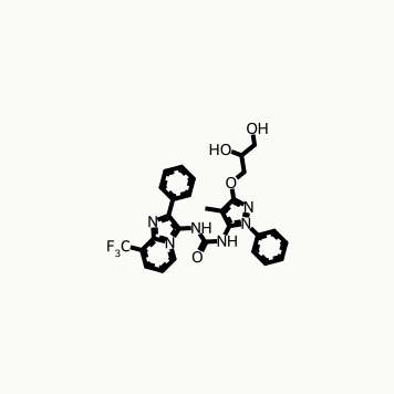 Cc1c(OCC(O)CO)nn(-c2ccccc2)c1NC(=O)Nc1c(-c2ccccc2)nc2c(C(F)(F)F)cccn12